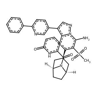 CS(=O)(=O)c1c([C@H]2C[C@H]3CC[C@@H](C2)N3C(=O)c2cccc(=O)[nH]2)nc2c(-c3ccc(-c4ccccc4)nc3)cnn2c1N